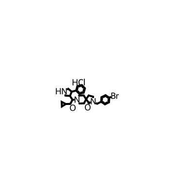 Cl.O=C(C1CC1)C(C1CNCC1c1ccccc1)N1CCC2(CCN(Cc3ccc(Br)cc3)C2=O)CC1